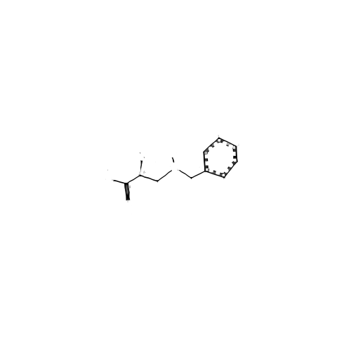 N[C@@H](C[S+]([O-])Cc1ccccc1)C(=O)O